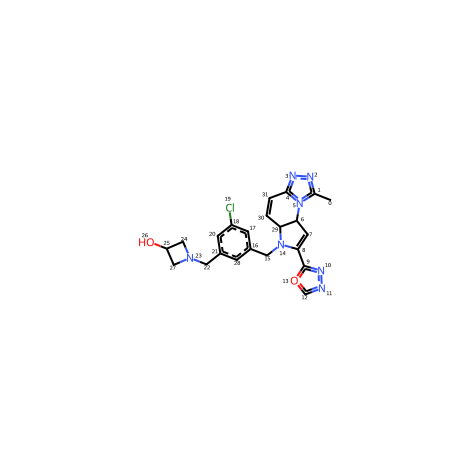 Cc1nnc2n1C1C=C(c3nnco3)N(Cc3cc(Cl)cc(CN4CC(O)C4)c3)C1C=C2